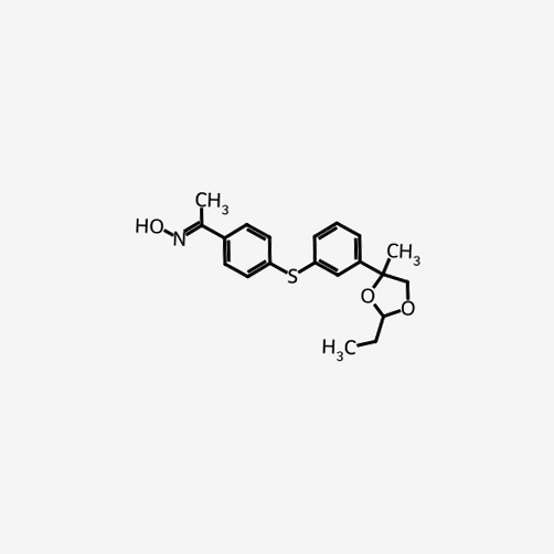 CCC1OCC(C)(c2cccc(Sc3ccc(C(C)=NO)cc3)c2)O1